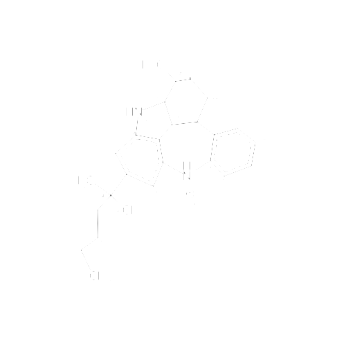 CCCCC(C)(C)c1cc2c3c(c1)[NH+]([O-])c1ccccc1C1CCC(C)C(N2)C31